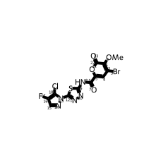 COc1c(Br)cc(C(=O)Nc2nnc(-n3ncc(F)c3Cl)s2)oc1=O